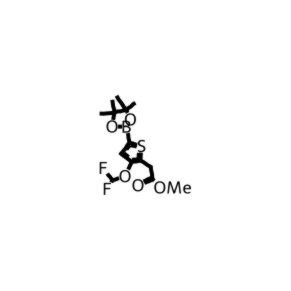 COC(=O)Cc1sc(B2OC(C)(C)C(C)(C)O2)cc1OC(F)F